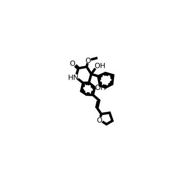 COC1C(=O)Nc2ccc(C=CC3CCCO3)c(O)c2C1(O)c1ccccc1